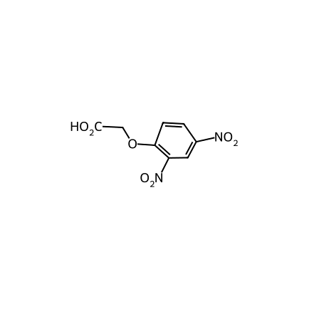 O=C(O)COc1ccc([N+](=O)[O-])cc1[N+](=O)[O-]